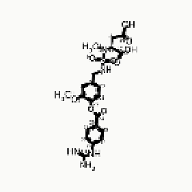 COc1cc(CNS(=O)(=O)N(C)[C@@H](CC(=O)O)C(=O)O)ccc1OC(=O)c1ccc(NC(=N)N)cc1